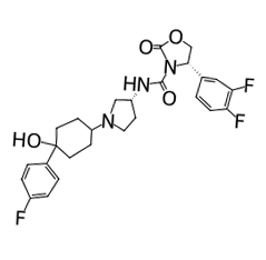 O=C(N[C@@H]1CCN(C2CCC(O)(c3ccc(F)cc3)CC2)C1)N1C(=O)OC[C@@H]1c1ccc(F)c(F)c1